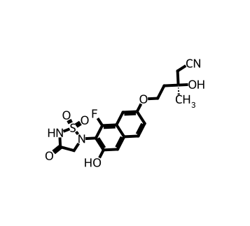 C[C@@](O)(CC#N)CCOc1ccc2cc(O)c(N3CC(=O)NS3(=O)=O)c(F)c2c1